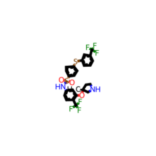 C[C@@]1(Oc2cc(NS(=O)(=O)c3ccc(Sc4cccc(C(F)(F)F)c4)cc3)ccc2C(F)(F)F)CCNC1